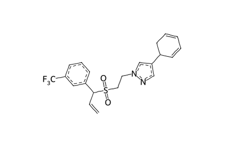 C=CC(c1cccc(C(F)(F)F)c1)S(=O)(=O)CCn1cc(C2C=CC=CC2)cn1